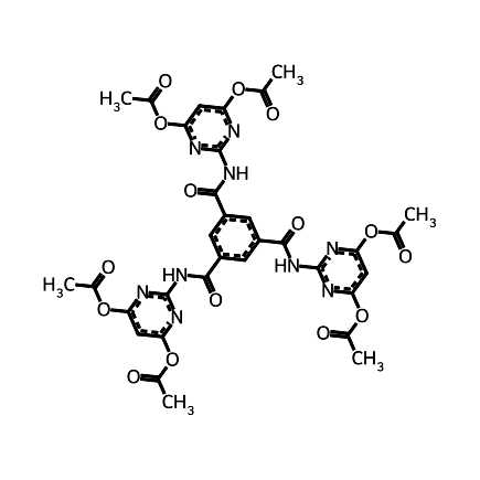 CC(=O)Oc1cc(OC(C)=O)nc(NC(=O)c2cc(C(=O)Nc3nc(OC(C)=O)cc(OC(C)=O)n3)cc(C(=O)Nc3nc(OC(C)=O)cc(OC(C)=O)n3)c2)n1